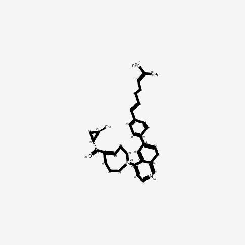 CCCC(=CCC/C=C/c1ccc(C2=CCC3=CN=CC=C(N4CC/C=C(\C(=O)[C@@H]5C[C@H]5F)CCC4)C3=C2)cc1)CCC